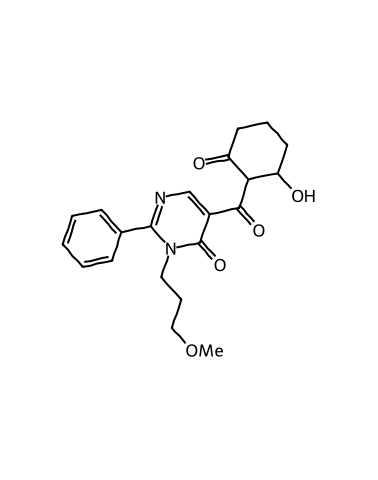 COCCCn1c(-c2ccccc2)ncc(C(=O)C2C(=O)CCCC2O)c1=O